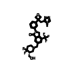 Cn1cnnc1CC1(c2cccc(N3Cc4c(cc(CN5CCC(F)(F)[C@@H](CO)C5)cc4C(F)(F)F)C3=O)c2)COC1